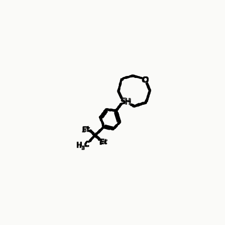 CCC(C)(CC)c1ccc([SH]2CCCOCCC2)cc1